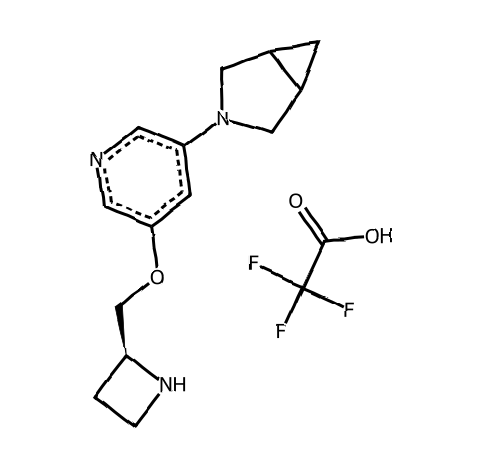 O=C(O)C(F)(F)F.c1ncc(N2CC3CC3C2)cc1OC[C@@H]1CCN1